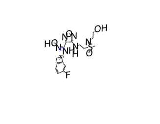 CS(=O)(CCNc1nonc1/C(=N\O)N[C@H]1Cc2ccc(F)cc21)=NCCO